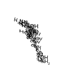 CC(C)(COP(=O)(O)OP(=O)(O)OC[C@H]1O[C@@H](n2cnc3c(N)ncnc32)[C@H](O)[C@@H]1OP(=O)(O)O)[C@@H](O)C(=O)NCCC(=O)NCCSC(=O)c1cccc(N)c1O